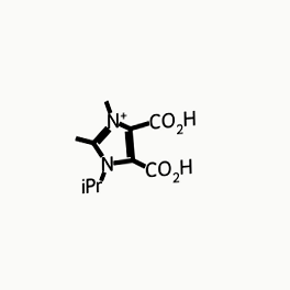 Cc1n(C(C)C)c(C(=O)O)c(C(=O)O)[n+]1C